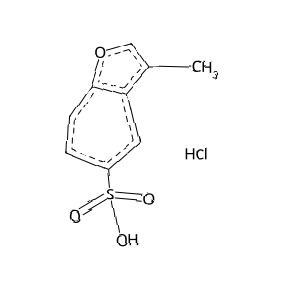 Cc1coc2ccc(S(=O)(=O)O)cc12.Cl